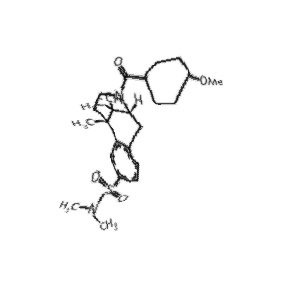 COC1CCC(C(=O)N2CC[C@@]3(C)c4cc(S(=O)(=O)N(C)C)ccc4C[C@@H]2C3(C)C)CC1